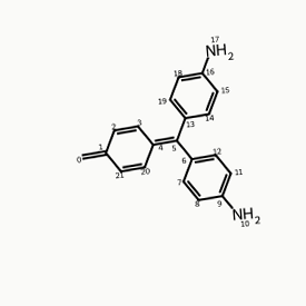 C=c1ccc(=C(c2ccc(N)cc2)c2ccc(N)cc2)cc1